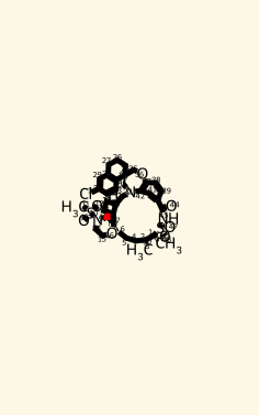 C[C@@H]1[C@@H](C)CCC[C@]2(CN(S(C)(=O)=O)CCO2)[C@@H]2CC[C@H]2CN2C[C@@]3(CCCc4cc(Cl)ccc43)COc3ccc(cc32)C(=O)NS1(=O)=O